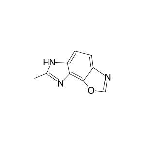 Cc1nc2c(ccc3ncoc32)[nH]1